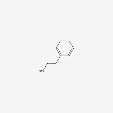 [As]CCc1ccccc1